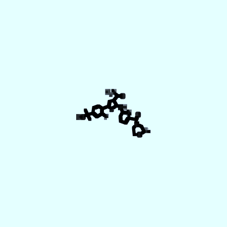 C[C@@H]1CN(C(=O)c2cccc(NC3SC(c4ccc(C(C)(C)O)cc4F)=CC3C(N)=O)n2)CCO1